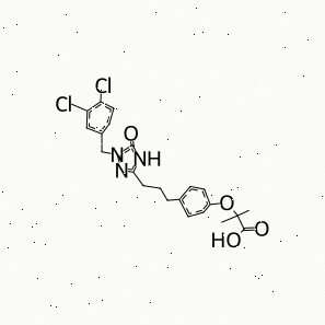 CC(C)(Oc1ccc(CCCc2nn(Cc3ccc(Cl)c(Cl)c3)c(=O)[nH]2)cc1)C(=O)O